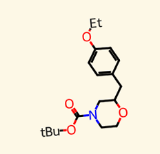 CCOc1ccc(CC2CN(C(=O)OC(C)(C)C)CCO2)cc1